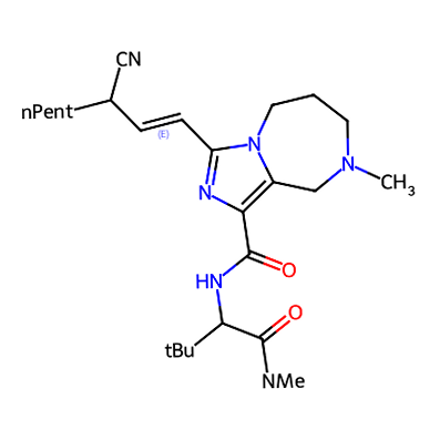 CCCCCC(C#N)/C=C/c1nc(C(=O)NC(C(=O)NC)C(C)(C)C)c2n1CCCN(C)C2